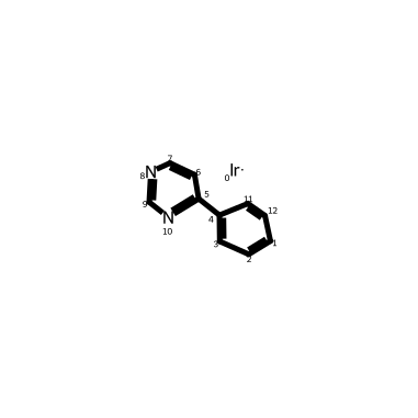 [Ir].c1ccc(-c2ccncn2)cc1